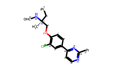 CC(C)C[C@@](C)(COc1ccc(-c2ccnc(C(C)C)n2)cc1Cl)NC=O